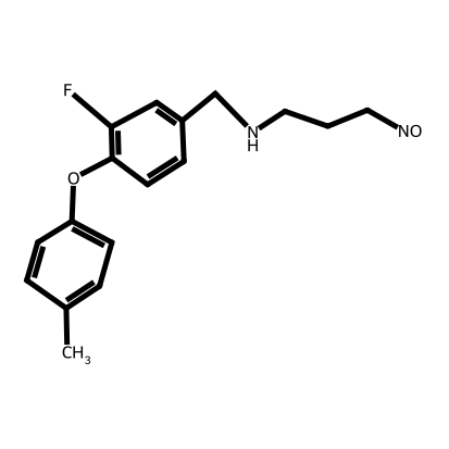 Cc1ccc(Oc2ccc(CNCCCN=O)cc2F)cc1